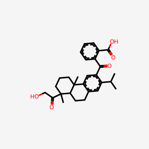 CC(C)c1cc2c(cc1C(=O)c1ccccc1C(=O)O)C1(C)CCCC(C)(C(=O)CO)C1CC2